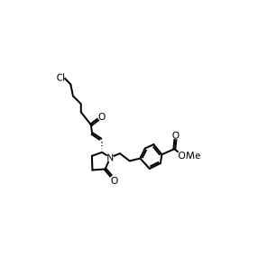 COC(=O)c1ccc(CCN2C(=O)CC[C@@H]2C=CC(=O)CCCCCl)cc1